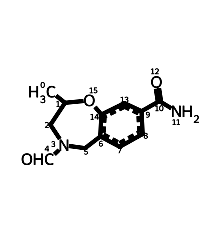 CC1CN(C=O)Cc2ccc(C(N)=O)cc2O1